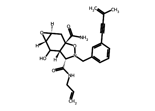 C=CCNC(=O)[C@@H]1[C@@H]2C(O)[C@@H]3O[C@H]3C[C@]2(C(N)=O)ON1Cc1cccc(C#CC(=C)C)c1